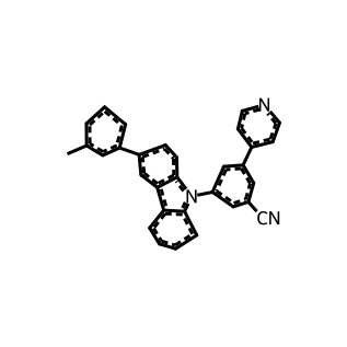 Cc1cccc(-c2ccc3c(c2)c2ccccc2n3-c2cc(C#N)cc(-c3ccncc3)c2)c1